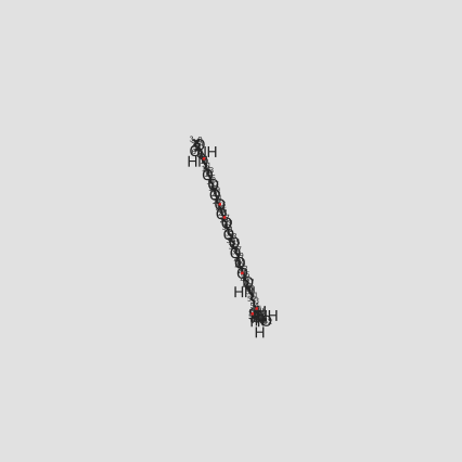 CC(C)(C)OC(=O)NCCNCCCOCCOCCOCCOCCOCCOCCOCCOCCOCCOCCOCCOCCNCCCCC[C@@H]1SC[C@@H]2NC(=O)N[C@@H]21